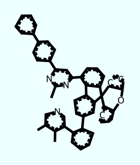 Cc1nc(-c2ccc(-c3ccccc3)cc2)cc(-c2cccc3c2-c2ccc(-c4ccccc4-c4cncc(C)c4C)cc2C32c3ccccc3Oc3ccccc32)n1